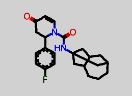 O=C1C=CN(C(=O)NC23CC4CCCC(C2)C(C4)C3)C(c2ccc(F)cc2)C1